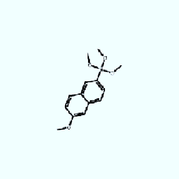 COc1ccc2cc([Si](OC)(OC)OC)ccc2c1